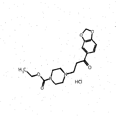 CCOC(=O)N1CCN(CCC(=O)c2ccc3c(c2)OCO3)CC1.Cl